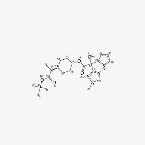 Cc1ccc(C(O)(C(=O)O[C@H]2CC[C@H](N(C)C(=O)OC(C)(C)C)CC2)c2cccs2)s1